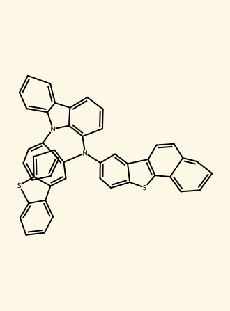 c1ccc(-n2c3ccccc3c3cccc(N(c4ccc5sc6ccccc6c5c4)c4ccc5sc6c7ccccc7ccc6c5c4)c32)cc1